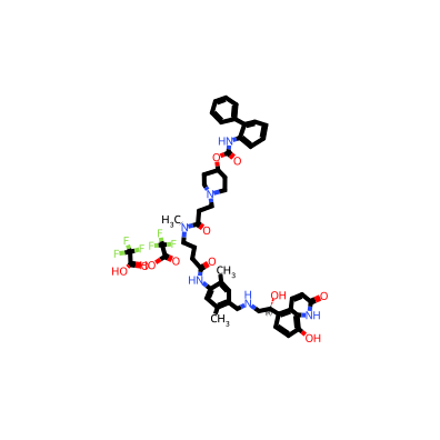 Cc1cc(NC(=O)CCCN(C)C(=O)CCN2CCC(OC(=O)Nc3ccccc3-c3ccccc3)CC2)c(C)cc1CNC[C@H](O)c1ccc(O)c2[nH]c(=O)ccc12.O=C(O)C(F)(F)F.O=C(O)C(F)(F)F